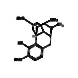 COC1=CC(OC)C2C3Cc4ccc(OC)c(O)c4[C@]2(CCN3C)C1